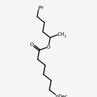 CCCCCCCCCCCCCCCC(=O)OC(C)CCCC(C)C